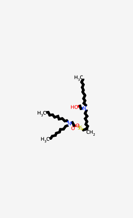 C=C(CCCCCCCN(CCO)CCCCCCCCCCCC)CSSOC(=O)CN(CCCCCCCCCC)CCCCCCCCCC